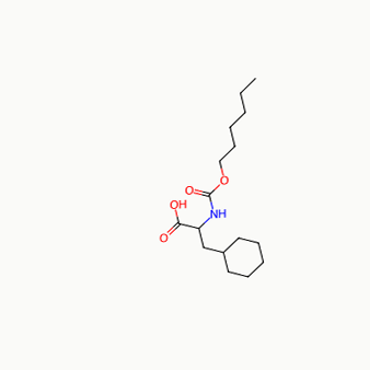 CCCCCCOC(=O)NC(CC1CCCCC1)C(=O)O